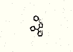 c1ccc(CN2CCC(C(c3ccccc3)c3ccccn3)C2)cc1